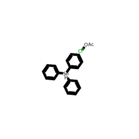 CC(=O)OCl.c1cc[c]([SnH]([c]2ccccc2)[c]2ccccc2)cc1